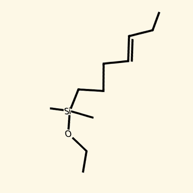 CCC=CCCC[Si](C)(C)OCC